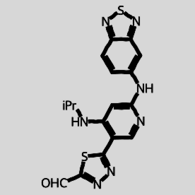 CC(C)Nc1cc(Nc2ccc3nsnc3c2)ncc1-c1nnc(C=O)s1